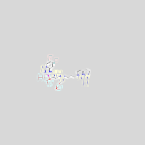 COCCN(CCCCc1ccc2c(n1)NCCC2)CCC(Nc1ncnc2cc(F)c(F)cc12)C(=O)O